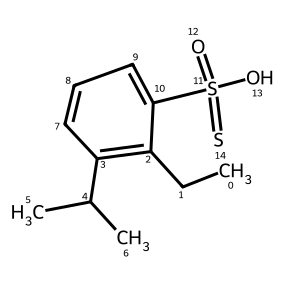 CCc1c(C(C)C)cccc1S(=O)(O)=S